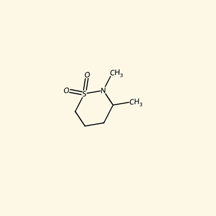 CC1CCCS(=O)(=O)N1C